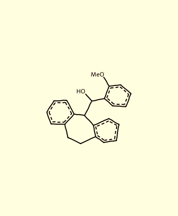 COc1ccccc1C(O)C1c2ccccc2CCc2ccccc21